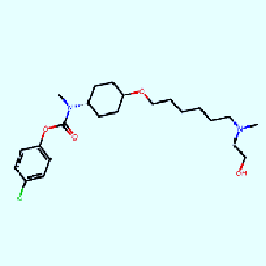 CN(CCO)CCCCCCO[C@H]1CC[C@H](N(C)C(=O)Oc2ccc(Cl)cc2)CC1